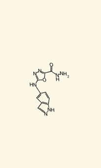 NNC(=O)c1nnc(Nc2ccc3[nH]ncc3c2)o1